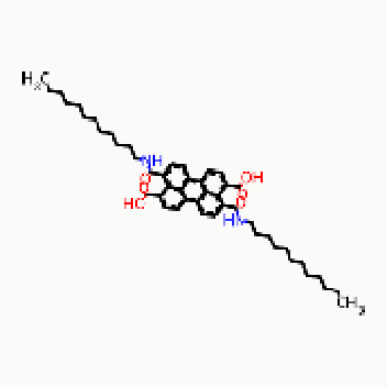 CCCCCCCCCCCCNC(=O)c1ccc2c3ccc(C(=O)O)c4c(C(=O)NCCCCCCCCCCCC)ccc(c5ccc(C(=O)O)c1c52)c43